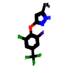 Cc1cc(Oc2c(F)cc(C(F)(F)F)cc2I)n[nH]1